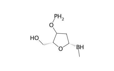 CB[C@H]1CC(OP)[C@@H](CO)O1